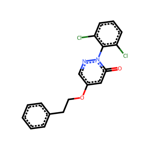 O=c1cc(OCCc2ccccc2)cnn1-c1c(Cl)cccc1Cl